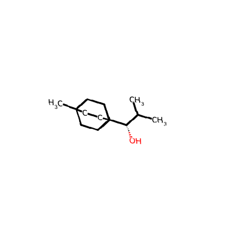 CC(C)[C@H](O)C12CCC(C)(CC1)CC2